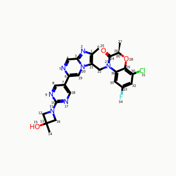 Cc1nc2cnc(-c3cnc(N4CC(C)(O)C4)nc3)cn2c1CN1C(=O)[C@@H](C)Oc2c(Cl)cc(F)cc21